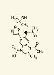 CC(=O)Nc1cc2c(cc1-c1cnn(CC(C)(C)O)c1)N(C(=O)O)CC(C)N2C(C)=O